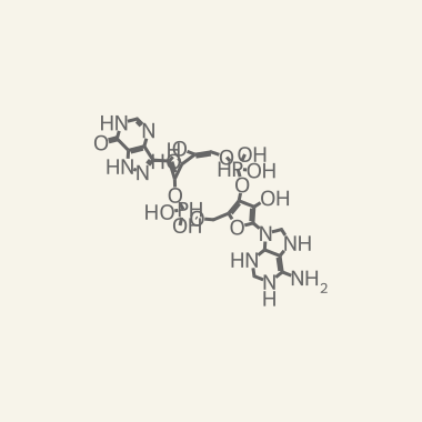 NC1=C2NCN(c3oc4c(c3O)O[PH](O)(O)O/C=C3/OC(c5n[nH]c6c(=O)[nH]cnc56)=C(O[PH](O)(O)OC4)[C@@H]3O)C2NCN1